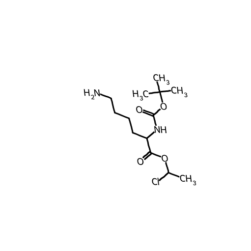 CC(Cl)OC(=O)C(CCCCN)NC(=O)OC(C)(C)C